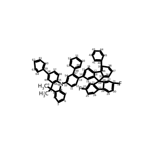 CC1(C)c2ccccc2N(c2ccc(-c3ccc4c(c3)C3(c5cc(F)ccc5-c5ccc(F)cc53)c3cccc(-c5ccccc5)c3-4)c(-c3ccccc3)c2)c2ccc(-c3ccccc3)cc21